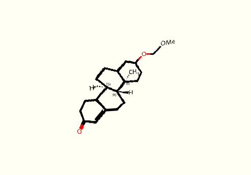 COCOC1CC[C@]2(C)C(CC[C@@H]3C4CCC(=O)C=C4CC[C@H]32)C1